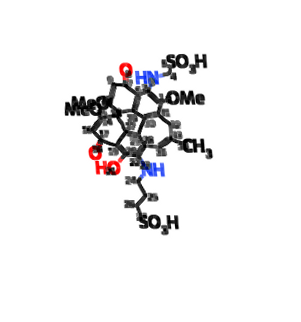 COc1c(NCS(=O)(=O)O)c2c(=O)cc(OC)c3c4c(OC)cc(=O)c5c(O)c(NCCCS(=O)(=O)O)c6c(c(c1CC(C)=C6)c23)c54